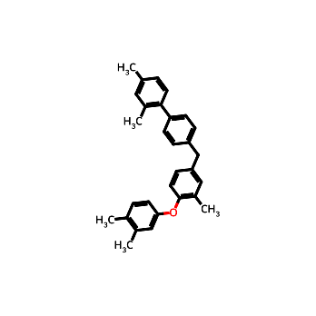 Cc1ccc(-c2ccc(Cc3ccc(Oc4ccc(C)c(C)c4)c(C)c3)cc2)c(C)c1